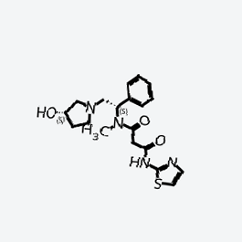 CN(C(=O)CC(=O)Nc1nccs1)[C@H](CN1CC[C@H](O)C1)c1ccccc1